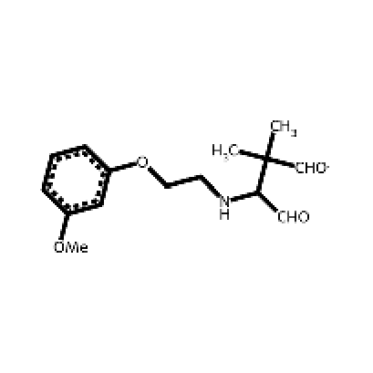 COc1cccc(OCCNC(C=O)C(C)(C)[C]=O)c1